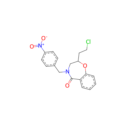 O=C1c2ccccc2OC(CCCl)CN1Cc1ccc([N+](=O)[O-])cc1